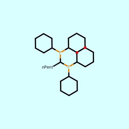 CCCCCC(P(C1CCCCC1)C1CCCCC1)P(C1CCCCC1)C1CCCCC1